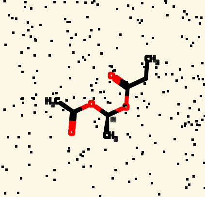 CCC(=O)O[C@@H](C)OC(C)=O